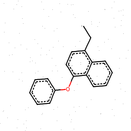 [CH2]Cc1ccc(Oc2ccccc2)c2ccccc12